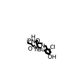 CCCCN1C(=O)C(CC(C)C)NC(=O)C12CCN(Cc1ccc(O)cc1Cl)CC2